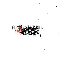 CC(=O)O[C@@H]1CC[C@@]2(C)C(CC[C@]3(C)C2CC=C2[C@@H]4[C@@H](C)[C@H](C)CC[C@]4(C)CC[C@]23C)[C@@]1(C)C(=O)O